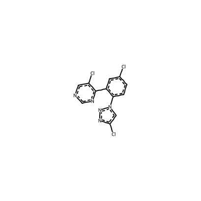 Clc1ccc(-n2cc(Cl)nn2)c(-c2ncncc2Cl)c1